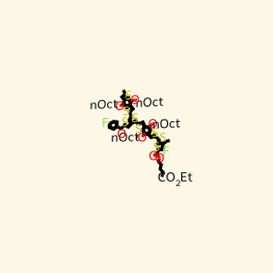 CCCCCCCCOc1c2cc(-c3sc(-c4cc5c(OCCCCCCCC)c6sc(-c7sc(C)c8c(F)c(C(=O)OCCCCC(=O)OCC)sc78)cc6c(OCCCCCCCC)c5s4)c4cc(C(=O)c5ccc(F)cc5)sc34)sc2c(OCCCCCCCC)c2cc(C)sc12